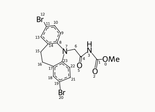 COC(=O)NC(=O)CN1c2ccc(Br)cc2CCc2cc(Br)ccc21